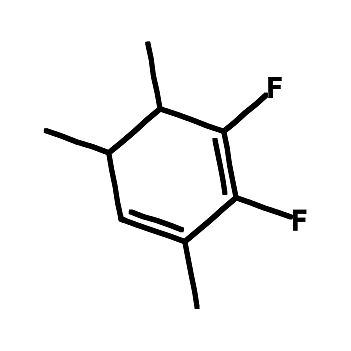 CC1=CC(C)C(C)C(F)=C1F